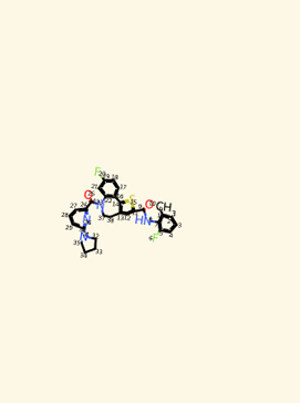 Cc1cccc(F)c1NC(=O)c1cc2c(s1)-c1ccc(F)cc1N(C(=O)c1cccc(N3CCCC3)n1)CC2